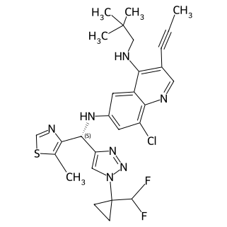 CC#Cc1cnc2c(Cl)cc(N[C@H](c3cn(C4(C(F)F)CC4)nn3)c3ncsc3C)cc2c1NCC(C)(C)C